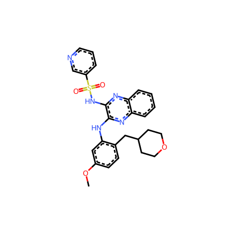 COc1ccc(CC2CCOCC2)c(Nc2nc3ccccc3nc2NS(=O)(=O)c2cccnc2)c1